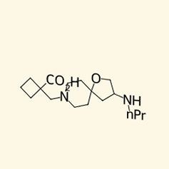 CCCNC1COC2(CCN(CC3(C(=O)O)CCC3)CC2)C1